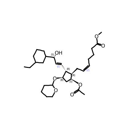 CCC1CCCC([C@H](O)/C=C/[C@@H]2[C@@H](C/C=C\CCCC(=O)OC)[C@@H](OC(C)=O)C[C@H]2OC2CCCCO2)C1